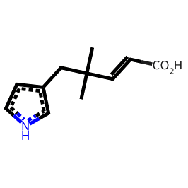 CC(C)(/C=C/C(=O)O)Cc1cc[nH]c1